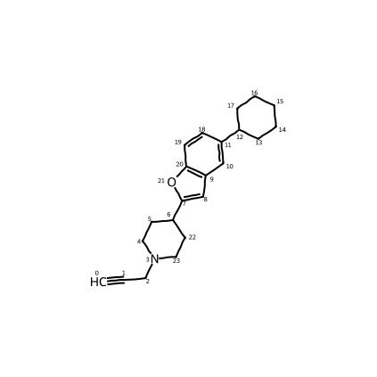 C#CCN1CCC(c2cc3cc(C4CCCCC4)ccc3o2)CC1